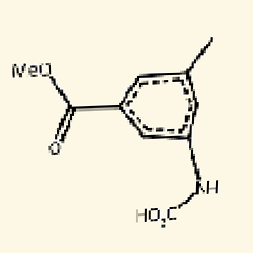 COC(=O)c1cc(C)cc(NC(=O)O)c1